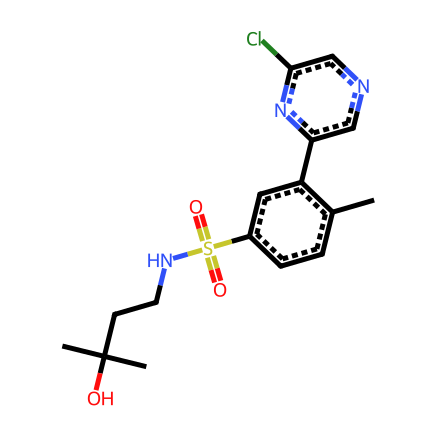 Cc1ccc(S(=O)(=O)NCCC(C)(C)O)cc1-c1cncc(Cl)n1